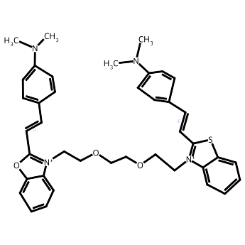 CN(C)c1ccc(/C=C/c2oc3ccccc3[n+]2CCOCCOCC[n+]2c(/C=C/c3ccc(N(C)C)cc3)sc3ccccc32)cc1